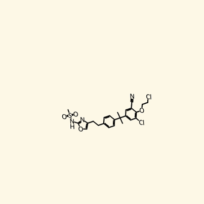 CC(C)(c1ccc(CCc2coc(NS(C)(=O)=O)n2)cc1)c1cc(Cl)c(OCCCl)c(C#N)c1